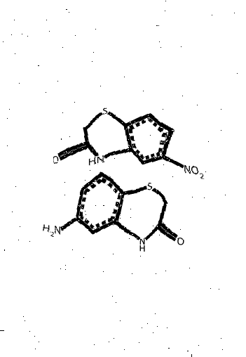 Nc1ccc2c(c1)NC(=O)CS2.O=C1CSc2ccc([N+](=O)[O-])cc2N1